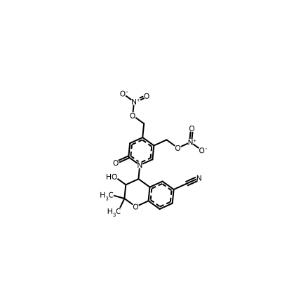 CC1(C)Oc2ccc(C#N)cc2C(n2cc(CO[N+](=O)[O-])c(CO[N+](=O)[O-])cc2=O)C1O